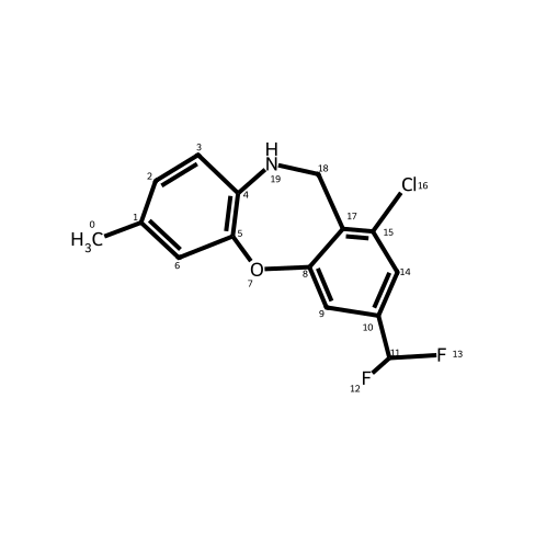 Cc1ccc2c(c1)Oc1cc(C(F)F)cc(Cl)c1CN2